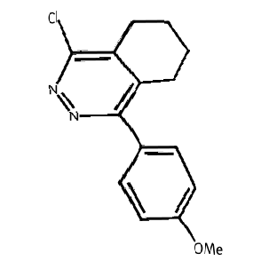 COc1ccc(-c2nnc(Cl)c3c2CCCC3)cc1